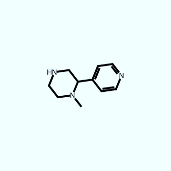 CN1CCNCC1c1ccncc1